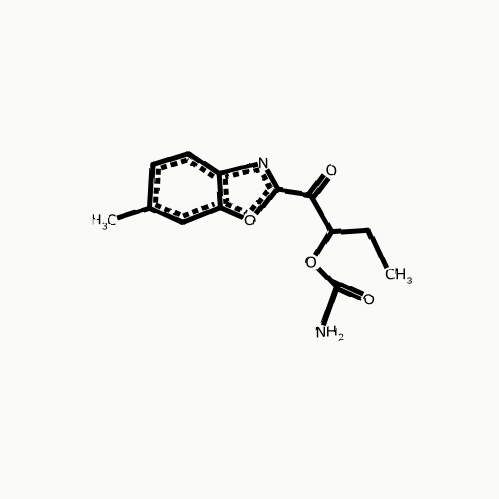 CCC(OC(N)=O)C(=O)c1nc2ccc(C)cc2o1